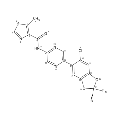 Cc1scnc1C(=O)Nc1cnc(-c2cc3c(cc2Cl)OC(F)(F)O3)cn1